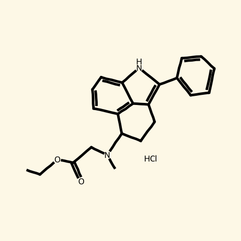 CCOC(=O)CN(C)C1CCc2c(-c3ccccc3)[nH]c3cccc1c23.Cl